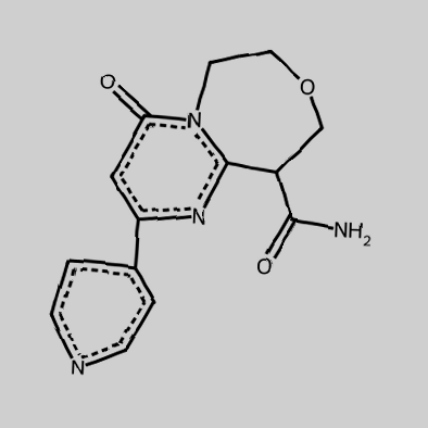 NC(=O)C1COCCn2c1nc(-c1ccncc1)cc2=O